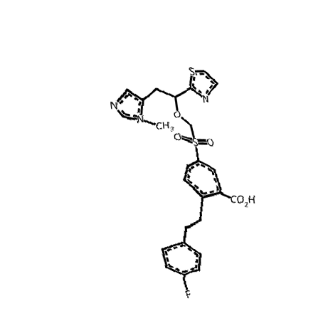 Cn1cncc1CC(OCS(=O)(=O)c1ccc(CCc2ccc(F)cc2)c(C(=O)O)c1)c1nccs1